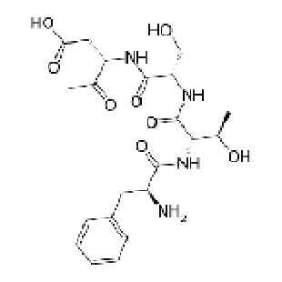 CC(=O)[C@H](CC(=O)O)NC(=O)[C@H](CO)NC(=O)[C@@H](NC(=O)[C@@H](N)Cc1ccccc1)[C@@H](C)O